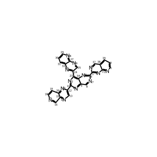 c1cnc2nc(-c3ncc4nc(-c5cnc6cnccc6n5)nc(-c5cnc6ncccc6n5)c4n3)ncc2c1